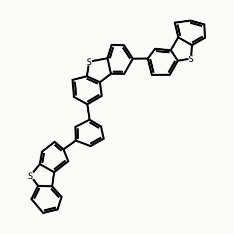 c1cc(-c2ccc3sc4ccccc4c3c2)cc(-c2ccc3sc4ccc(-c5ccc6sc7ccccc7c6c5)cc4c3c2)c1